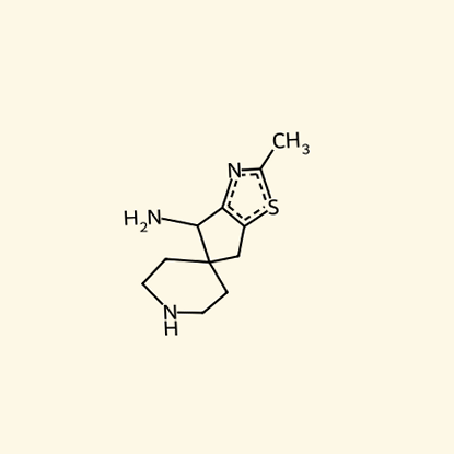 Cc1nc2c(s1)CC1(CCNCC1)C2N